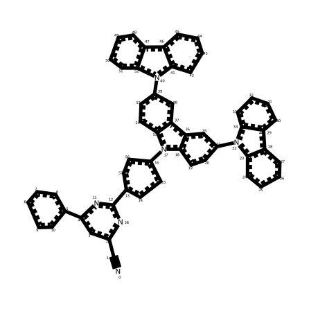 N#Cc1cc(-c2ccccc2)nc(-c2ccc(-n3c4ccc(-n5c6ccccc6c6ccccc65)cc4c4cc(-n5c6ccccc6c6ccccc65)ccc43)cc2)n1